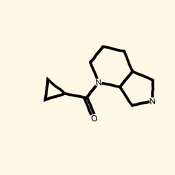 O=C(C1CC1)N1CCCC2C[N]CC21